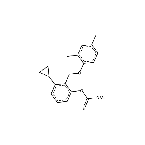 CNC(=S)Oc1cccc(C2CC2)c1COc1ccc(C)cc1C